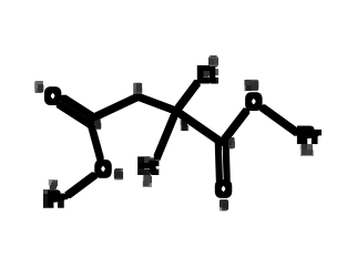 CCC(CC)(CC(=O)OC(C)C)C(=O)OC(C)C